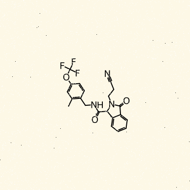 Cc1cc(OC(F)(F)F)ccc1CNC(=O)C1c2ccccc2C(=O)N1CCC#N